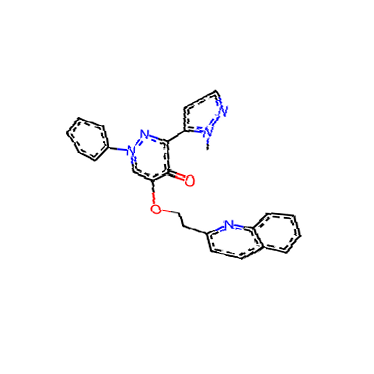 Cn1nccc1-c1nn(-c2ccccc2)cc(OCCc2ccc3ccccc3n2)c1=O